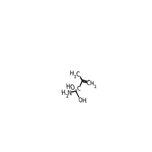 C=C(C)C(=O)O.NCO